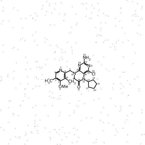 COc1c(C)cnc(CN2CC(=O)N(C3CCCC3)c3c(Cl)nc(N)nc32)c1C